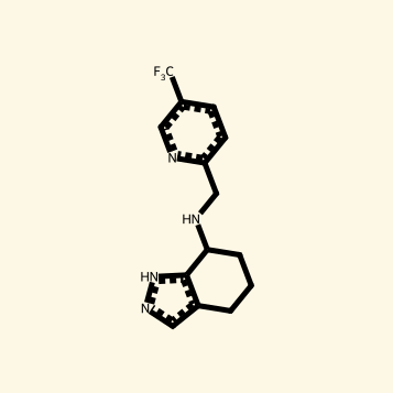 FC(F)(F)c1ccc(CNC2CCCc3cn[nH]c32)nc1